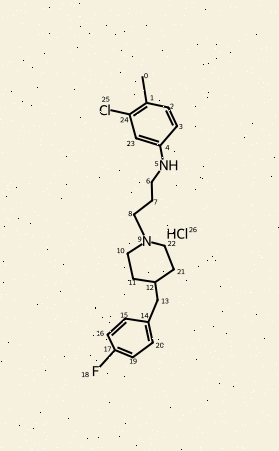 Cc1ccc(NCCCN2CCC(Cc3ccc(F)cc3)CC2)cc1Cl.Cl